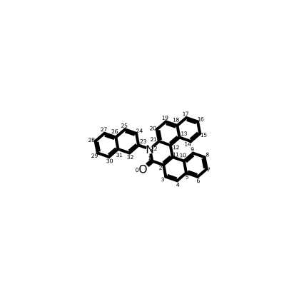 O=c1c2ccc3ccccc3c2c2c3ccccc3ccc2n1-c1ccc2ccccc2c1